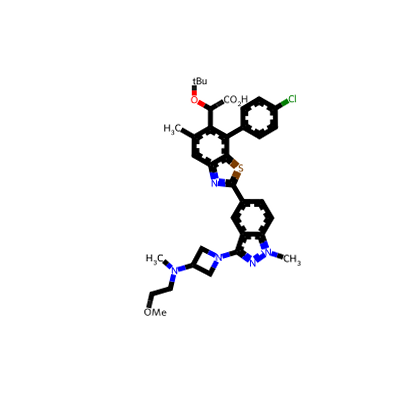 COCCN(C)C1CN(c2nn(C)c3ccc(-c4nc5cc(C)c(C(OC(C)(C)C)C(=O)O)c(-c6ccc(Cl)cc6)c5s4)cc23)C1